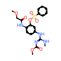 CNC(=NC(=O)OC)Nc1ccc(NC(=O)COC)c(OS(=O)(=O)c2ccccc2)c1